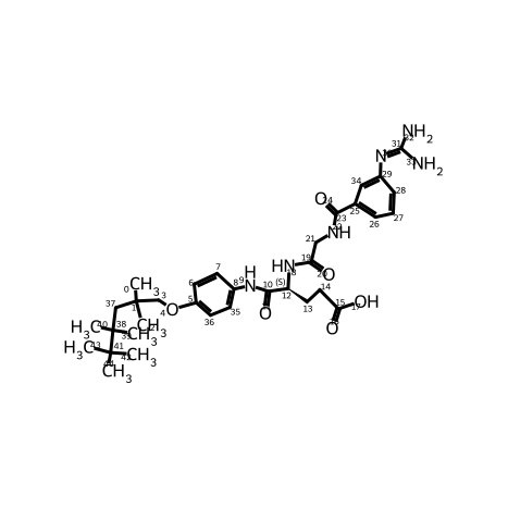 CC(C)(COc1ccc(NC(=O)[C@H](CCC(=O)O)NC(=O)CNC(=O)c2cccc(N=C(N)N)c2)cc1)CC(C)(C)C(C)(C)C